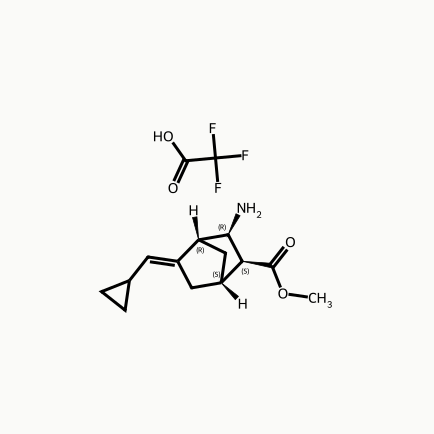 COC(=O)[C@H]1[C@@H]2CC(=CC3CC3)[C@@H](C2)[C@H]1N.O=C(O)C(F)(F)F